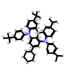 CC(C)c1ccc(N2c3ccc(C(C)C)cc3B3c4cc(C(C)(C)C)ccc4N(c4ccc(C(C)(C)C)cc4)c4cc(C5CCCCC5)cc2c43)cc1